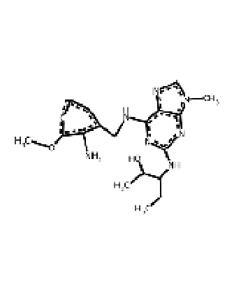 CCC(Nc1nc(NCc2cccc(OC)c2N)c2ncn(C)c2n1)C(C)O